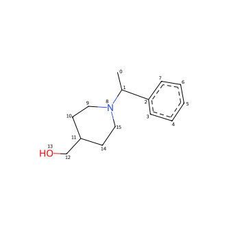 CC(c1ccccc1)N1CCC(CO)CC1